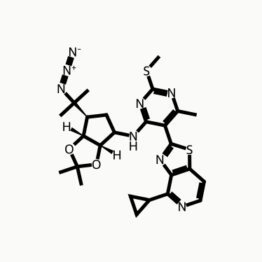 CSc1nc(C)c(-c2nc3c(C4CC4)nccc3s2)c(NC2C[C@H](C(C)(C)N=[N+]=[N-])[C@H]3OC(C)(C)O[C@@H]23)n1